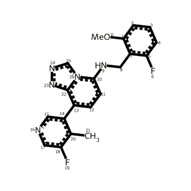 COc1cccc(F)c1CNc1ccc(-c2cncc(F)c2C)c2nncn12